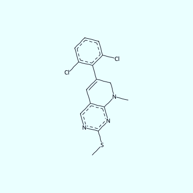 CSc1ncc2c(n1)N(C)CC(c1c(Cl)cccc1Cl)=C2